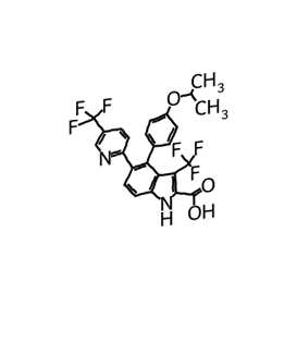 CC(C)Oc1ccc(-c2c(-c3ccc(C(F)(F)F)cn3)ccc3[nH]c(C(=O)O)c(C(F)(F)F)c23)cc1